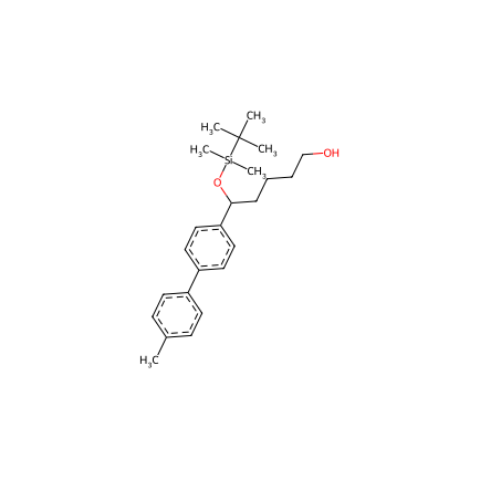 Cc1ccc(-c2ccc(C(CCCCO)O[Si](C)(C)C(C)(C)C)cc2)cc1